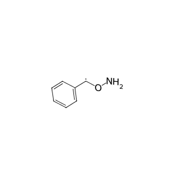 NO[CH]c1ccccc1